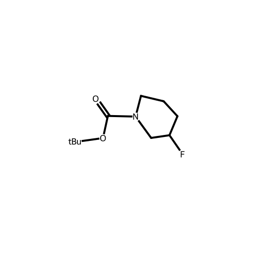 CC(C)(C)OC(=O)N1CCCC(F)C1